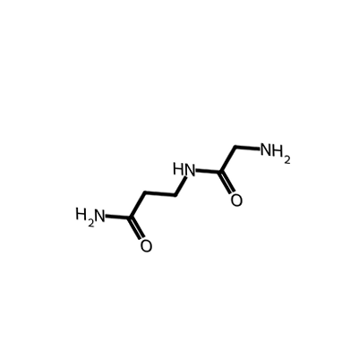 NCC(=O)NCCC(N)=O